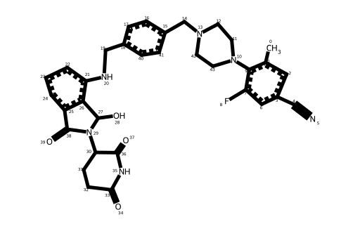 Cc1cc(C#N)cc(F)c1N1CCN(Cc2ccc(CNc3cccc4c3C(O)N(C3CCC(=O)NC3=O)C4=O)cc2)CC1